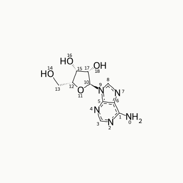 Nc1ncnc2c1ncn2[C@H]1O[C@H](CO)[C@H](O)[C@@H]1O